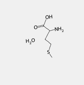 CSCCC(N)C(=O)O.O